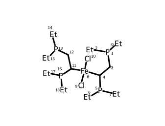 CCP(CC)C[CH](P(CC)CC)[Fe]([Cl])([Cl])[CH](CP(CC)CC)P(CC)CC